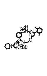 Cc1cccc(C)c1-c1cc2nc(n1)NS(=O)(=O)c1cccc(c1)C(=O)N(Cc1ncc(N3CCCCC3)cn1)[C@H](CC(C)(C)C)CO2